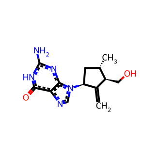 C=C1[C@H](CO)[C@@H](C)C[C@@H]1n1cnc2c(=O)[nH]c(N)nc21